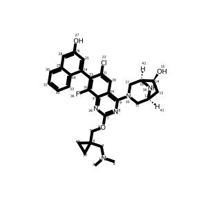 CN(C)CC1(COc2nc(N3C[C@@H]4C[C@H](O)[C@H](C3)N4)c3cc(Cl)c(-c4cc(O)cc5ccccc45)c(F)c3n2)CC1